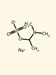 CC(OS(=O)(=O)[O-])N(C)C.[Na+]